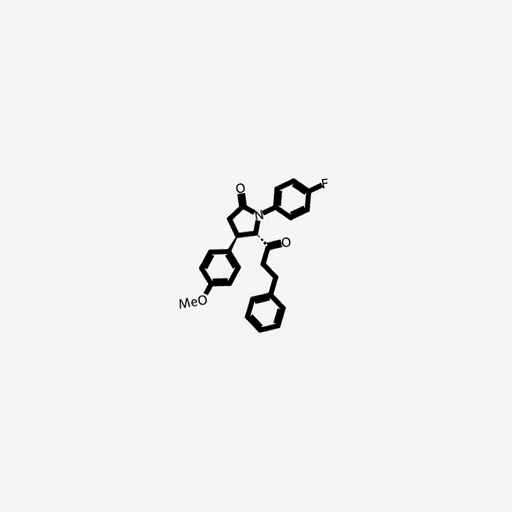 COc1ccc([C@H]2CC(=O)N(c3ccc(F)cc3)[C@@H]2C(=O)CCc2ccccc2)cc1